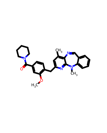 COc1cc(C(=O)N2CCCCC2)ccc1Cc1cc(C)c2c(n1)N(C)c1ccccc1C=N2